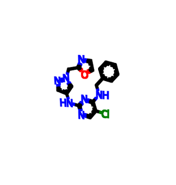 Clc1cnc(Nc2cnn(Cc3ncco3)c2)nc1NCc1ccccc1